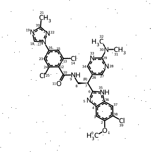 COc1cc2nc([C@@H](CNC(=O)c3c(Cl)cc(-n4cnc(C)n4)cc3Cl)c3cnc(N(C)C)nc3)[nH]c2cc1Cl